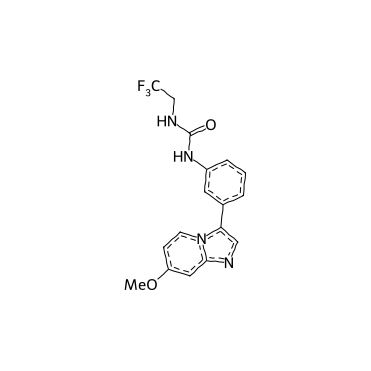 COc1ccn2c(-c3cccc(NC(=O)NCC(F)(F)F)c3)cnc2c1